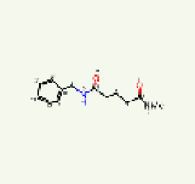 CNC(=O)CCCC(=O)NCc1ccccc1